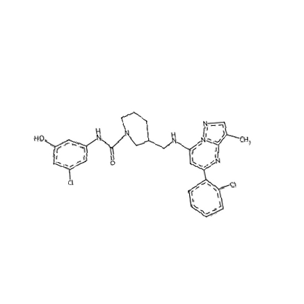 Cc1cnn2c(NCC3CCCN(C(=O)Nc4cc(O)cc(Cl)c4)C3)cc(-c3ccccc3Cl)nc12